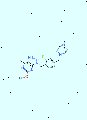 CCOc1nc(C)c(N)c(NCc2ccc(CN3CC4CC3CN4C)cc2F)n1